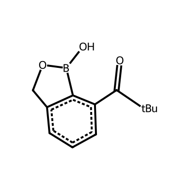 CC(C)(C)C(=O)c1cccc2c1B(O)OC2